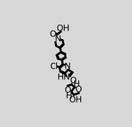 O=C(CO)N1CC=C(c2ccc(-c3nc4cc(O[C@@H]5CO[C@H]6[C@@H]5OC[C@H]6O)[nH]c4cc3Cl)cc2)CC1